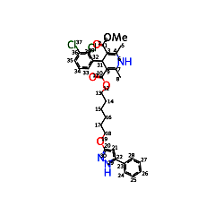 COC(=O)C1=C(C)NC(C)=C(C(=O)OCCCCCCOc2cc(-c3ccccc3)[nH]n2)C1c1cccc(Cl)c1Cl